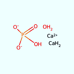 O.O=P([O-])([O-])O.[Ca+2].[CaH2]